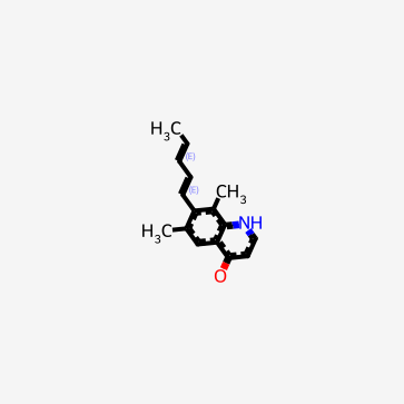 C/C=C/C=C/c1c(C)cc2c(=O)cc[nH]c2c1C